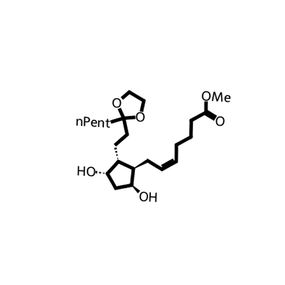 CCCCCC1(CC[C@@H]2[C@@H](C/C=C\CCCC(=O)OC)[C@@H](O)C[C@@H]2O)OCCO1